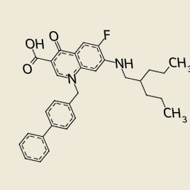 CCCC(CCC)CNc1cc2c(cc1F)c(=O)c(C(=O)O)cn2Cc1ccc(-c2ccccc2)cc1